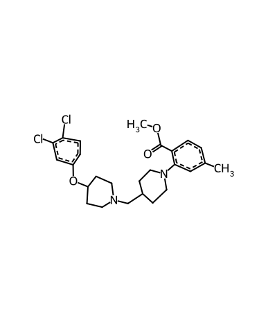 COC(=O)c1ccc(C)cc1N1CCC(CN2CCC(Oc3ccc(Cl)c(Cl)c3)CC2)CC1